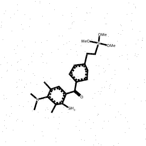 CO[Si](CCc1ccc(C(=O)c2cc(C)c(N(C)C)c(C)c2[SiH3])cc1)(OC)OC